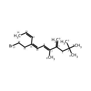 C=C(CC(C)(C)C)/C(C)=C/C=C(\C=C/C)CCBr